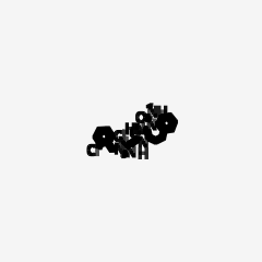 CNC(=O)N1C(=N)C(NC(=O)c2ncn(Cc3c(Cl)cccc3Cl)n2)CCc2ccccc21